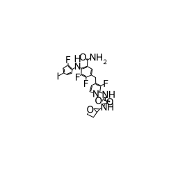 NC(=O)c1cc(Cc2ccnc(NS(=O)(=O)NC3C4CCOC43)c2F)c(F)c(F)c1Nc1ccc(I)cc1F